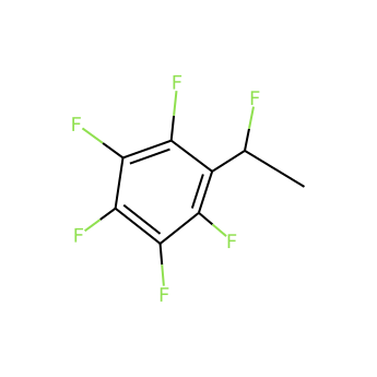 CC(F)c1c(F)c(F)c(F)c(F)c1F